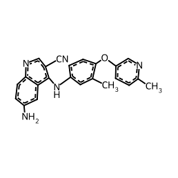 Cc1ccc(Oc2ccc(Nc3c(C#N)cnc4ccc(N)cc34)cc2C)cn1